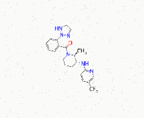 C[C@H]1[C@H](Nc2ccc(C(F)(F)F)cn2)CCCN1C(=O)c1ccccc1N1N=CCN1